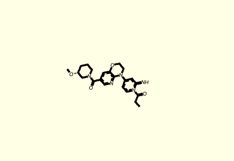 CCC(=O)n1ccc(N2CCOc3cc(C(=O)N4CCC[C@@H](OC)C4)cnc32)cc1=N